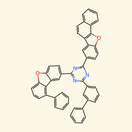 c1ccc(-c2cccc(-c3nc(-c4ccc5oc6c7ccccc7ccc6c5c4)nc(-c4ccc5oc6cccc(-c7ccccc7)c6c5c4)n3)c2)cc1